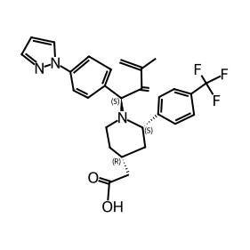 C=C(C)C(=C)[C@H](c1ccc(-n2cccn2)cc1)N1CC[C@@H](CC(=O)O)C[C@H]1c1ccc(C(F)(F)F)cc1